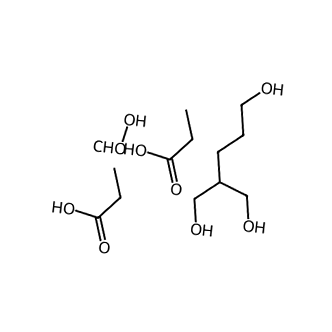 CCC(=O)O.CCC(=O)O.O=CO.OCCCC(CO)CO